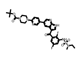 CCN(C)S(=O)(=O)Nc1cc(F)cc(C(=O)c2c[nH]c3ncc(-c4ccc(N5CCN(C(=O)OC(C)(C)C)CC5)nc4)cc23)c1F